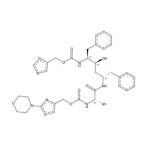 CC(C)[C@H](NC(=O)OCc1csc(N2CCOCC2)n1)C(=O)N[C@@H](Cc1ccccc1)C[C@H](O)[C@H](Cc1ccccc1)NC(=O)OCc1cnco1